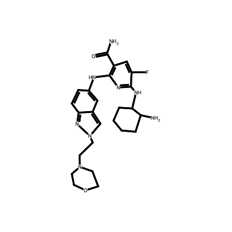 NC(=O)c1cc(F)c(NC2CCCCC2N)nc1Nc1ccc2nn(CCN3CCOCC3)cc2c1